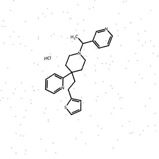 CC(c1cccnc1)N1CCC(CCc2cccs2)(c2ccccn2)CC1.Cl